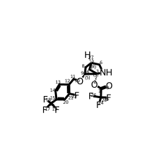 O=C(O[C@]12C[C@H](CN1)C[C@@H]2OCc1ccc(C(F)(F)F)cc1F)C(F)(F)F